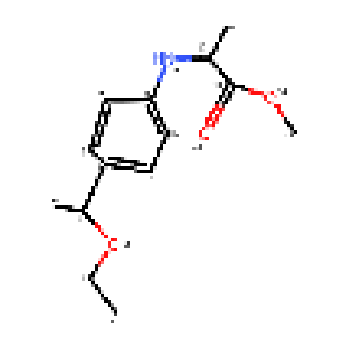 CCOC(C)c1ccc(NC(C)C(=O)OC)cc1